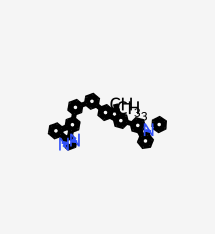 CC1(C)c2cc(-c3cccc(-c4cccc(-c5ccc6c(c5)c5ccccc5c5nccnc65)c4)c3)ccc2-c2ccc(-c3ccc4c(c3)c3ccccc3n4-c3ccccc3)cc21